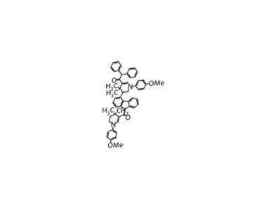 COc1ccc(N2C=C(C(=O)C3c4ccccc4-c4c3cccc4C3CN(c4ccc(OC)cc4)C=C(C(=O)C(c4ccccc4)c4ccccc4)C3(C)C)C(C)(C)CC2)cc1